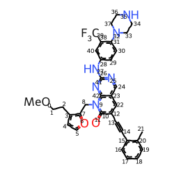 COCCc1ccoc1Cn1c(=O)c(C#Cc2ccccc2C)cc2cnc(Nc3ccc(N4CCNCC4)c(C(F)(F)F)c3)nc21